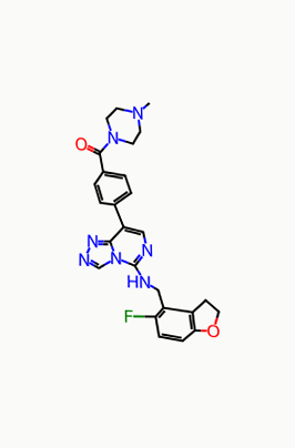 CN1CCN(C(=O)c2ccc(-c3cnc(NCc4c(F)ccc5c4CCO5)n4cnnc34)cc2)CC1